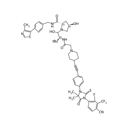 Cc1ncsc1-c1ccc(CNC(=O)[C@@H]2C[C@@H](O)CN2C(O)[C@@H](NC(=O)CN2CCC(C#Cc3ccc(N4C(=S)N(c5ccc(C#N)c(C(F)(F)F)c5F)C(=O)C4(C)C)cc3)CC2)C(C)(C)C)cc1